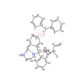 BC(c1ccccc1)c1ccccc1.C=CC(C)C[SiH2]C(c1ccccc1)(c1ccccc1)n1ccnc1